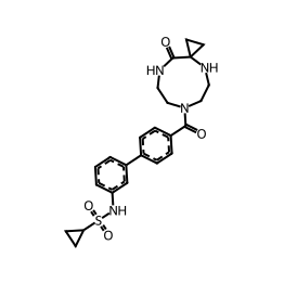 O=C(c1ccc(-c2cccc(NS(=O)(=O)C3CC3)c2)cc1)N1CCNC(=O)C2(CC2)NCC1